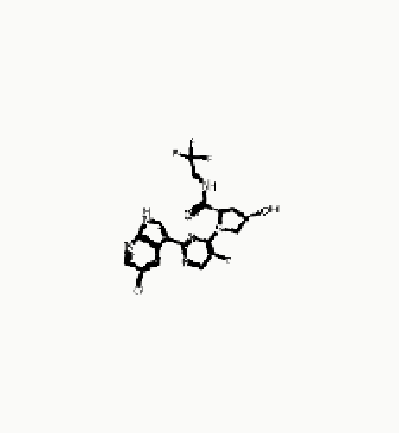 O=C(NCC(F)(F)F)[C@H]1C[C@@H](O)CN1c1nc(-c2c[nH]c3ncc(Cl)cc23)ncc1F